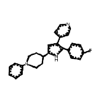 Fc1ccc(-c2[nH]c(C3CCN(c4ccccc4)CC3)cc2-c2ccncc2)cc1